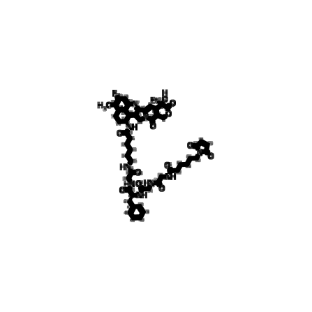 CC[C@@]1(O)C(=O)OCc2c1cc1n(c2=O)Cc2c-1nc1cc(F)c(C)c3c1c2[C@@H](NC(=O)CCCCCNC(=O)CNC(=O)[C@H](Cc1ccccc1)NC(=O)CNC(=O)CNC(=O)CCCCCN1C(=O)C=CC1=O)CC3